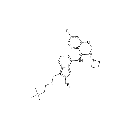 C[Si](C)(C)CCOCn1c(C(F)(F)F)cc2c(N[C@H]3c4ccc(F)cc4OC[C@@H]3N3CCC3)cccc21